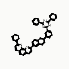 c1ccc(-c2ccc3ccc4ccc(-c5ccc6cc(-c7cccc(-c8nc(-c9ccccc9)nc(-c9ccccc9)n8)c7)ccc6c5)nc4c3n2)cc1